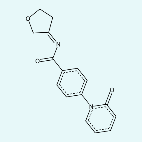 O=C(/N=C1/CCOC1)c1ccc(-n2ccccc2=O)cc1